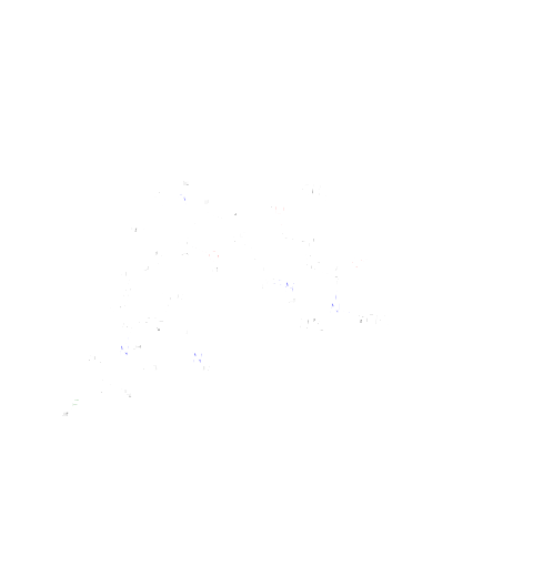 COc1cc(C(=O)N(C)C)ncc1-c1cc2nccc(-c3ccc(N4CC[C@H](F)C4)c(C#N)c3)c2o1